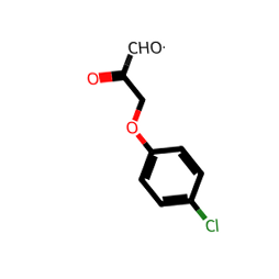 O=[C]C(=O)COc1ccc(Cl)cc1